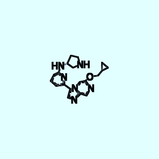 c1cc(N[C@@H]2CCNC2)nc(-c2cnc3cnc(OCC4CC4)cn23)c1